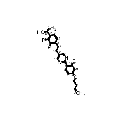 C=CCCOc1ccc(-c2ncc(CCc3ccc(C(C)O)c(F)c3F)cn2)c(F)c1